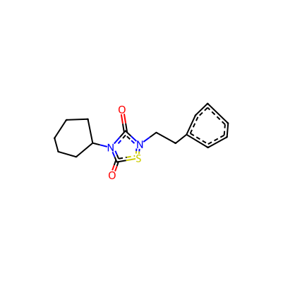 O=c1sn(CCc2ccccc2)c(=O)n1C1CCCCC1